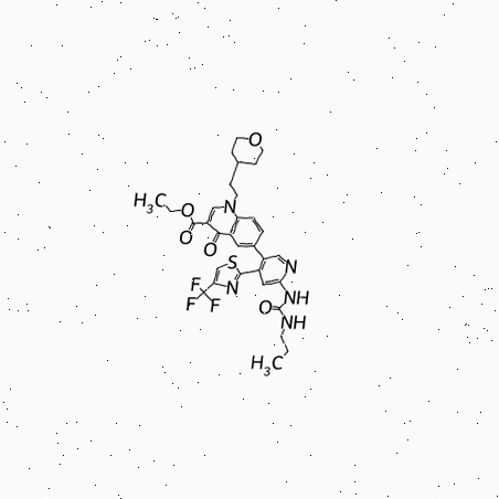 CCCNC(=O)Nc1cc(-c2nc(C(F)(F)F)cs2)c(-c2ccc3c(c2)c(=O)c(C(=O)OCC)cn3CCC2CCOCC2)cn1